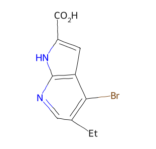 CCc1cnc2[nH]c(C(=O)O)cc2c1Br